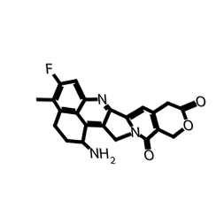 Cc1c(F)cc2nc3c(c4c2c1CCC4N)Cn1c-3cc2c(c1=O)COC(=O)C2